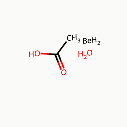 CC(=O)O.O.[BeH2]